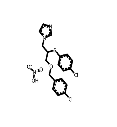 Clc1ccc(COCC(Cn2ccnc2)Sc2ccc(Cl)cc2)cc1.O=[N+]([O-])O